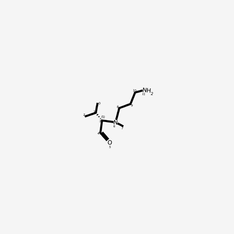 CC(C)[C@@H]([C]=O)N(C)CCCN